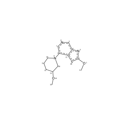 COc1nc2cncc(N3CCCC(OC)C3)c2s1